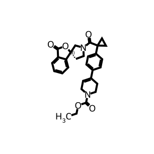 CCOC(=O)N1CC=C(c2ccc(C3(C(=O)N4CC[C@@]5(C4)OC(=O)c4ccccc45)CC3)cc2)CC1